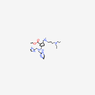 CCCN(CCC)CCCCN(C)Cc1ccc(CN(Cc2ncc[nH]2)Cc2nccn2C)cc1C(=O)OCC